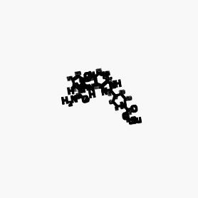 CC(C)(C)OC(=O)N1CCC(c2nc3c(N[C@H]4[C@H](C(N)=O)[C@@H]5C=C[C@@H]4C5)c(Cl)cnc3[nH]2)CC1